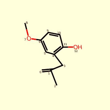 C=C(C)Cc1cc(OC)ccc1O